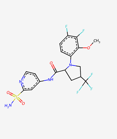 COc1c(N2CC(C(F)(F)F)CC2C(=O)Nc2ccnc(S(N)(=O)=O)c2)ccc(F)c1F